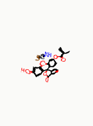 C=C(C)C(=O)Oc1ccc2c(c1)Oc1cc(O)ccc1C21OC(=O)c2ccccc21.N=C=S